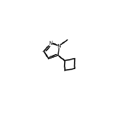 Cn1n[c]cc1C1CCC1